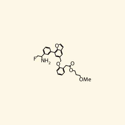 COCCCOC(=O)Cc1ccccc1OCc1cc(-c2cccc(C(N)CF)c2)c2occc2c1